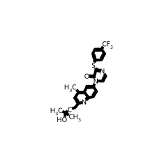 Cc1cc(CCC(C)(C)O)nc2ccc(-n3ccnc(Sc4ccc(C(F)(F)F)cc4)c3=O)cc12